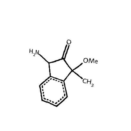 COC1(C)C(=O)C(N)c2ccccc21